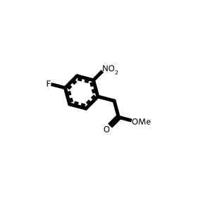 COC(=O)Cc1ccc(F)cc1[N+](=O)[O-]